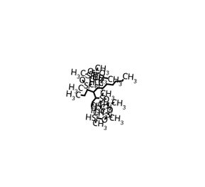 CCCCCCCC(C(CC)[Si](C)(C)O[Si](C)(C)O[Si](C)(C)O[SiH](C)C)C(CC)[Si](C)(C)O[Si](C)(C)O[Si](C)(C)O[SiH](C)C